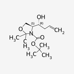 C=CC[C@@H](O)[C@@H]1COC(C)(C)N1C(=O)OC(C)(C)C